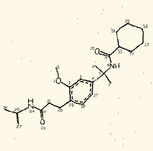 COc1cc(C(C)(C)NC(=O)C2CCCCC2)ccc1CCC(=O)NC(C)C